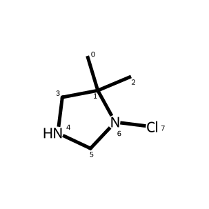 CC1(C)CNCN1Cl